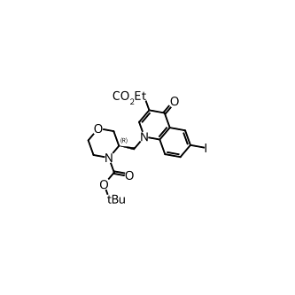 CCOC(=O)c1cn(C[C@@H]2COCCN2C(=O)OC(C)(C)C)c2ccc(I)cc2c1=O